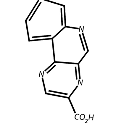 O=C(O)c1cnc2c(cnc3ccccc32)n1